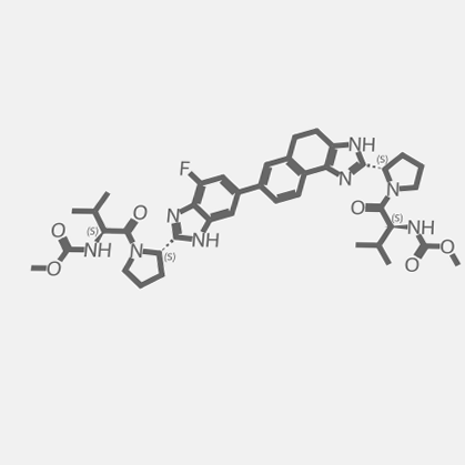 COC(=O)N[C@H](C(=O)N1CCC[C@H]1c1nc2c([nH]1)CCc1cc(-c3cc(F)c4nc([C@@H]5CCCN5C(=O)[C@@H](NC(=O)OC)C(C)C)[nH]c4c3)ccc1-2)C(C)C